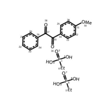 CCP(=O)(O)O.CCP(=O)(O)O.COc1ccc(C(=O)C(=O)c2ccccc2)cc1